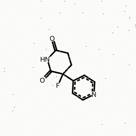 O=C1CCC(F)(c2ccncc2)C(=O)N1